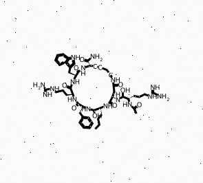 CCCC[C@H]1NC(=O)[C@@H](NC(O)[C@H](CCCNC(=N)N)NC(C)=O)CC(=O)NCCCC[C@@H](C(N)=O)NC(=O)[C@H](Cc2c[nH]c3ccccc23)NC(=O)[C@H](CCCNC(=N)N)NC(=O)[C@@H](Cc2ccccc2)NC1O